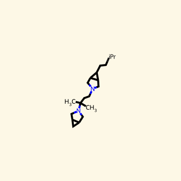 CC(C)CCC1C2CN(CCC(C)(C)N3CC4CC4C3)CC12